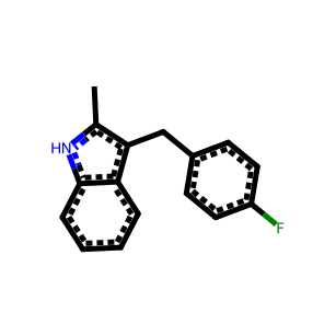 Cc1[nH]c2ccccc2c1Cc1ccc(F)cc1